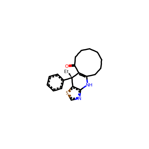 CC[C@@]1(c2ccccc2)C2=C(CCCCCCCC2=O)Nc2ncsc21